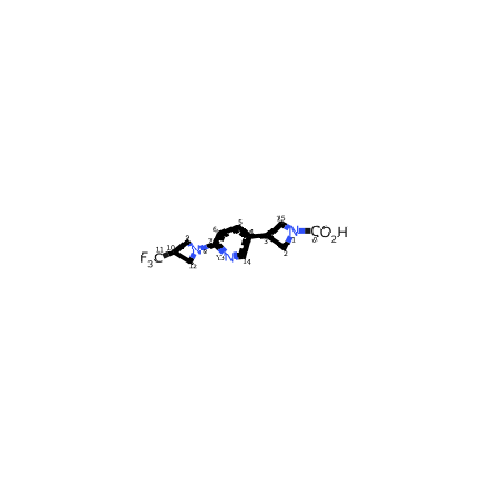 O=C(O)N1CC(c2ccc(N3CC(C(F)(F)F)C3)nc2)C1